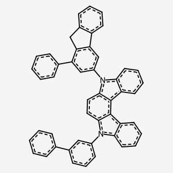 c1ccc(-c2cccc(-n3c4ccccc4c4c5c6ccccc6n(-c6cc(-c7ccccc7)c7c(c6)-c6ccccc6C7)c5ccc43)c2)cc1